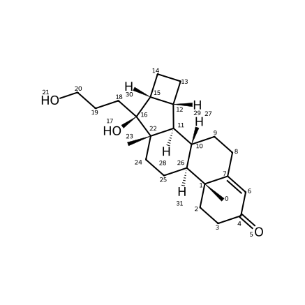 C[C@]12CCC(=O)C=C1CC[C@H]1[C@@H]3[C@H]4CC[C@H]4[C@@](O)(CCCO)[C@@]3(C)CC[C@@H]12